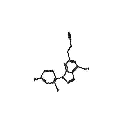 N#CCCc1nc(O)c2cnn(-c3ccc(F)cc3F)c2n1